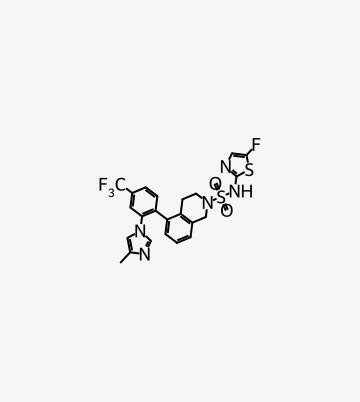 Cc1cn(-c2cc(C(F)(F)F)ccc2-c2cccc3c2CCN(S(=O)(=O)Nc2ncc(F)s2)C3)cn1